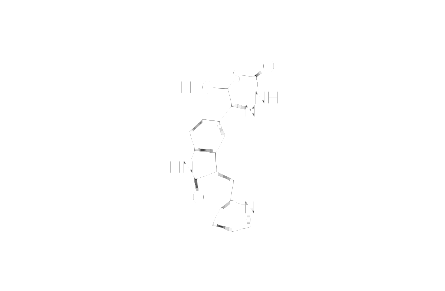 CC1SC(=O)NN=C1c1ccc2c(c1)C(=Cc1ccccn1)C(=O)N2